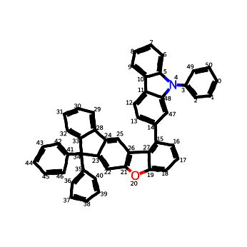 c1ccc(-n2c3ccccc3c3ccc(-c4cccc5oc6cc7c(cc6c45)-c4ccccc4C7(c4ccccc4)c4ccccc4)cc32)cc1